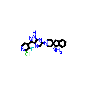 N[C@H]1c2ccccc2CC12CCN(c1cnc3c(-c4ccnc(Cl)c4F)n[nH]c3n1)CC2